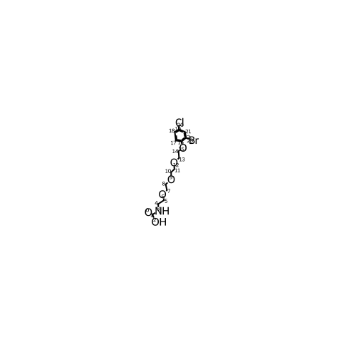 O=C(O)NCCOCCOCCOCCOc1ccc(Cl)cc1Br